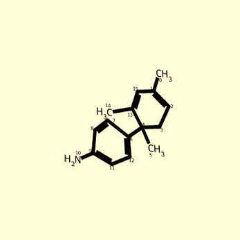 CC1=CCC(C)(c2ccc(N)cc2)C(C)=C1